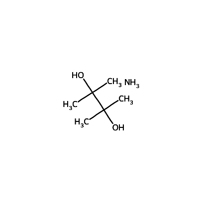 CC(C)(O)C(C)(C)O.N